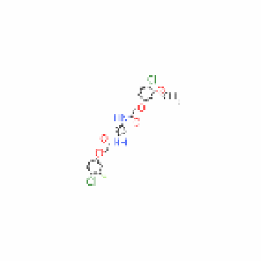 COc1cc(OCC(=O)NC23CC(NC(=O)COc4ccc(Cl)c(F)c4)(C2)C3)ccc1Cl